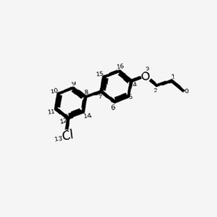 CCCOc1ccc(-c2cccc(Cl)c2)cc1